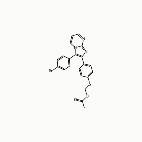 CC(=O)OCSc1ccc(-c2nc3ncccn3c2-c2ccc(Br)cc2)cc1